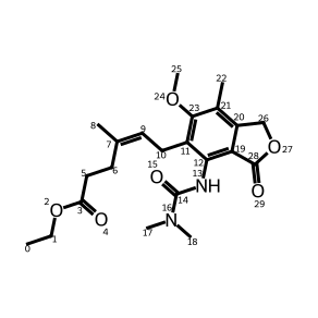 CCOC(=O)CCC(C)=CCc1c(NC(=O)N(C)C)c2c(c(C)c1OC)COC2=O